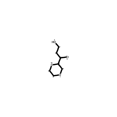 CCC(CCO)C1COCCO1